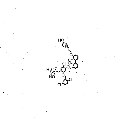 CC(CO)(CO)NCc1cc(Cl)c(OCc2cccc(-c3cccc(OCCCN4CC[C@@H](O)C4)c3Cl)c2Cl)cc1OCc1cc(Cl)ccc1Cl